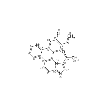 C=Cc1ccc(-c2ncccc2-c2ccc3ncc(C(C)=O)n3c2)cc1Cl